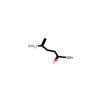 C=C(CCC(=O)NC)C(=O)OCC